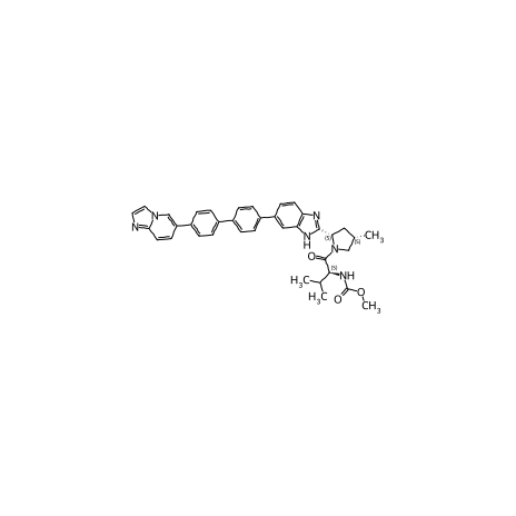 COC(=O)N[C@H](C(=O)N1C[C@@H](C)C[C@H]1c1nc2ccc(-c3ccc(-c4ccc(-c5ccc6nccn6c5)cc4)cc3)cc2[nH]1)C(C)C